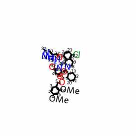 COc1ccc(COC(=O)[C@H]2CCCC[C@H]2C(=O)N2CCc3c(Cl)ccc(OC/C(N)=C/N(C)N)c3[C@H]2CN2CCCC2=O)c(OC)c1